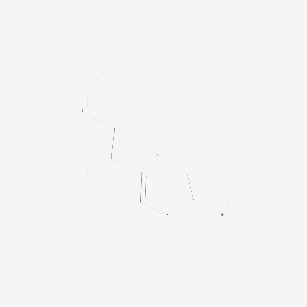 C[SiH](C)CCC(Cl)c1ccc(C(C)(C)C)cc1